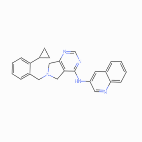 c1ccc(C2CC2)c(CN2Cc3ncnc(Nc4cnc5ccccc5c4)c3C2)c1